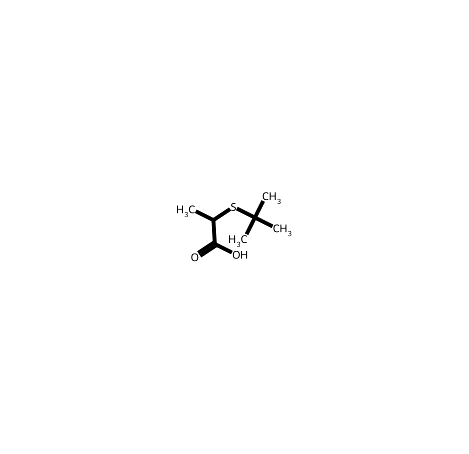 CC(SC(C)(C)C)C(=O)O